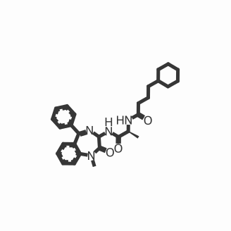 C[C@H](NC(=O)CCCC1CCCCC1)C(=O)NC1N=C(c2ccccc2)c2ccccc2N(C)C1=O